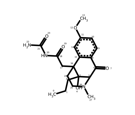 CCCC1(O)C2C(=O)c3ccc(OC)cc3C1(CC(=O)NC(N)=O)CCN2C